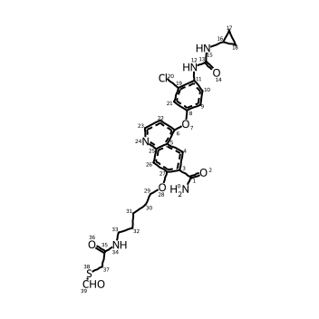 NC(=O)c1cc2c(Oc3ccc(NC(=O)NC4CC4)c(Cl)c3)ccnc2cc1OCCCCCNC(=O)CSC=O